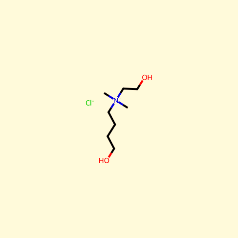 C[N+](C)(CCO)CCCCO.[Cl-]